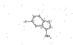 Nc1csc2ccc(F)cc12